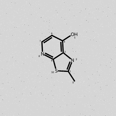 Cc1nc2c(O)ccnc2s1